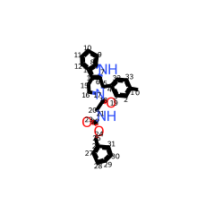 Cc1ccc(C2c3[nH]c4ccccc4c3CCN2C(=O)CNC(=O)OCc2ccccc2)cc1